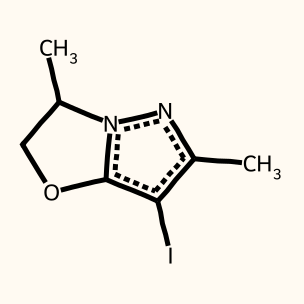 Cc1nn2c(c1I)OCC2C